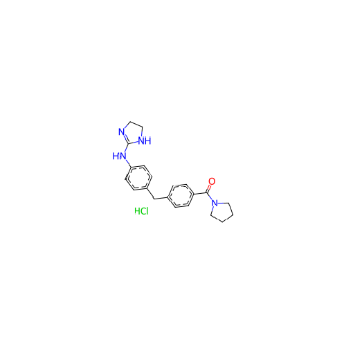 Cl.O=C(c1ccc(Cc2ccc(NC3=NCCN3)cc2)cc1)N1CCCC1